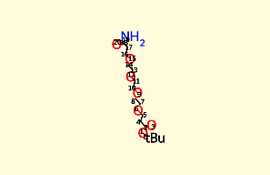 CC(C)(C)OC(=O)CCOCCOCCOCCOCCC(N)=O